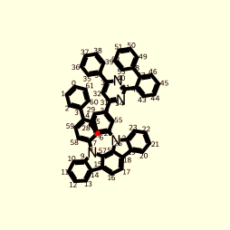 c1ccc(-c2ccc(-n3c4ccccc4c4ccc5c6ccccc6n(-c6cccc(-c7cc(-c8ccccc8)nc(-c8ccccc8-c8ccccc8)n7)c6)c5c43)cc2)cc1